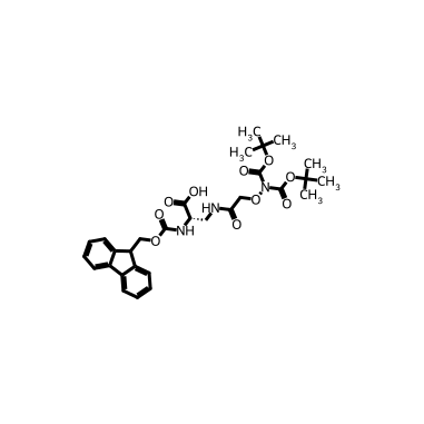 CC(C)(C)OC(=O)N(OCC(=O)NC[C@H](NC(=O)OCC1c2ccccc2-c2ccccc21)C(=O)O)C(=O)OC(C)(C)C